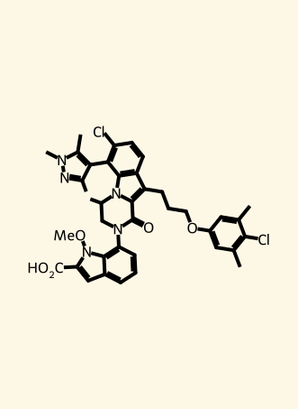 COn1c(C(=O)O)cc2cccc(N3CC(C)n4c(c(CCCOc5cc(C)c(Cl)c(C)c5)c5ccc(Cl)c(-c6c(C)nn(C)c6C)c54)C3=O)c21